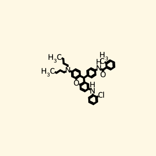 CCCCN(CCCC)c1ccc2c(c1)Oc1ccc(Nc3ccccc3Cl)cc1C2c1ccc(NC(=O)c2ccccc2C)cc1